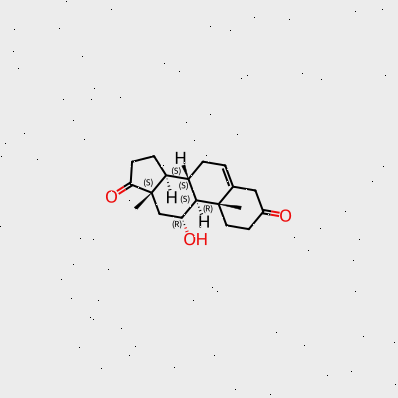 C[C@]12CCC(=O)CC1=CC[C@@H]1[C@@H]2[C@H](O)C[C@]2(C)C(=O)CC[C@@H]12